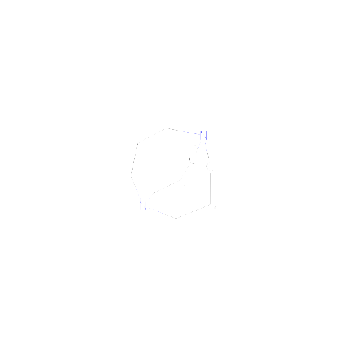 C1CN2CCCN(C1)CCC2